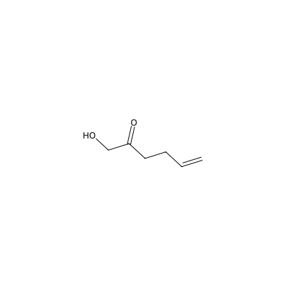 C=CCCC(=O)CO